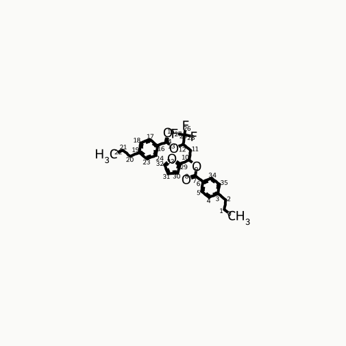 CCCc1ccc(C(=O)OC(CC(OC(=O)c2ccc(CCC)cc2)C(F)(F)F)c2ccco2)cc1